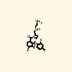 NCCNCC1CCN1C(=O)c1ccc(F)c(F)c1Nc1ccc(I)cc1F